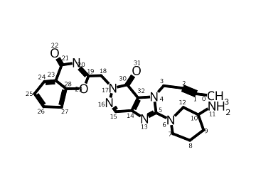 CC#CCn1c(N2CCCC(N)C2)nc2cnn(Cc3nc(=O)c4ccccc4o3)c(=O)c21